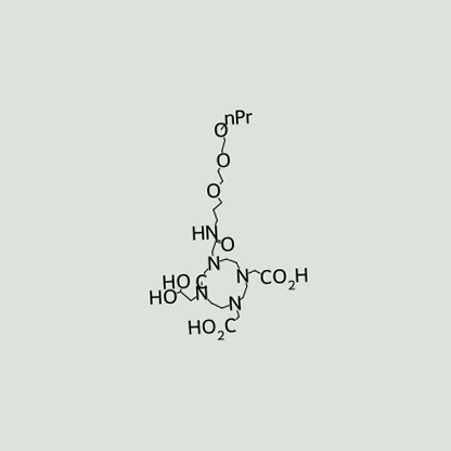 CCCOCCOCCOCCCNC(=O)CN1CCN(CC(=O)O)CCN(CC(=O)O)CCN(CC(O)O)CC1